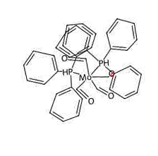 O=[CH][Mo]([CH]=O)([CH]=O)([CH]=O)([PH](c1ccccc1)(c1ccccc1)c1ccccc1)[PH](c1ccccc1)(c1ccccc1)c1ccccc1